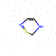 C1=CNC[S+]=N1